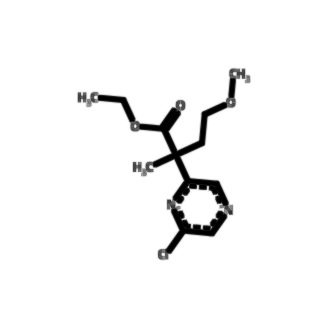 CCOC(=O)C(C)(CCOC)c1cncc(Cl)n1